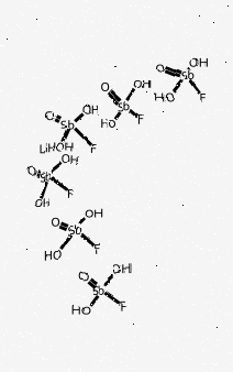 [LiH].[O]=[Sb]([OH])([OH])[F].[O]=[Sb]([OH])([OH])[F].[O]=[Sb]([OH])([OH])[F].[O]=[Sb]([OH])([OH])[F].[O]=[Sb]([OH])([OH])[F].[O]=[Sb]([OH])([OH])[F]